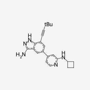 CC(C)(C)C#Cc1cc(-c2ccnc(NC3CCC3)c2)cc2c(N)n[nH]c12